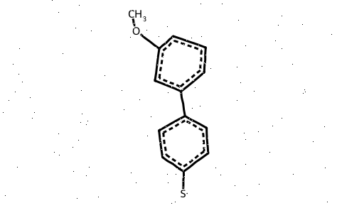 COc1cccc(-c2ccc([S])cc2)c1